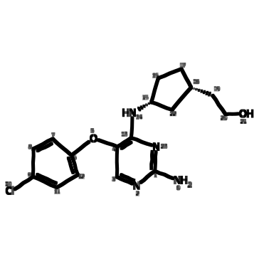 Nc1ncc(Oc2ccc(Cl)cc2)c(N[C@@H]2CC[C@H](CCO)C2)n1